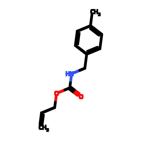 C=CCOC(=O)NCc1ccc(C)cc1